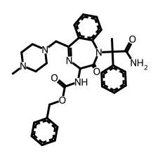 CN1CCN(CC2=NC(NC(=O)OCc3ccccc3)C(=O)N(C(C)(C(N)=O)c3ccccc3)c3ccccc32)CC1